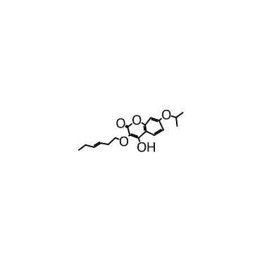 CCC=CCCOc1c(O)c2ccc(OC(C)C)cc2oc1=O